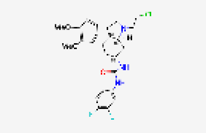 COc1ccc([C@@]23CC[C@@H](NC(=O)Nc4ccc(F)c(F)c4)C[C@@H]2N(CCCl)CC3)cc1OC